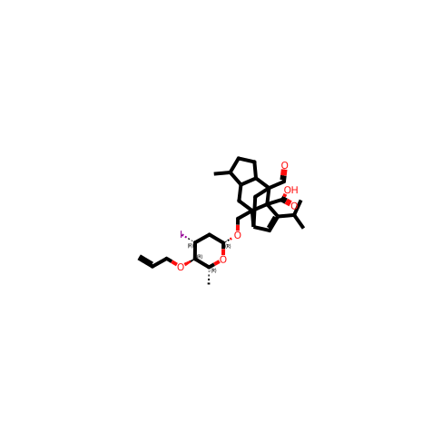 C=CCO[C@H]1[C@H](I)C[C@H](OCC23CC4C(C)CCC4C4(C=O)CC2C=C(C(C)C)C43C(=O)O)O[C@@H]1C